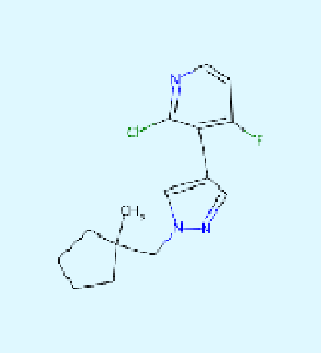 CC1(Cn2cc(-c3c(F)ccnc3Cl)cn2)CCCC1